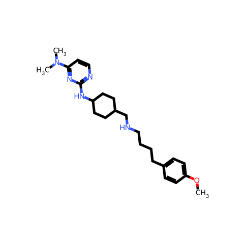 COc1ccc(CCCCNCC2CCC(Nc3nccc(N(C)C)n3)CC2)cc1